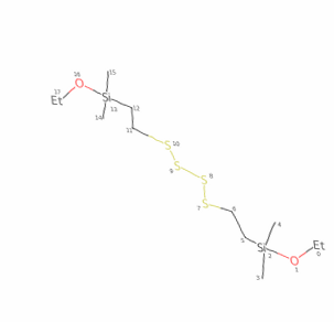 CCO[Si](C)(C)CCSSSSCC[Si](C)(C)OCC